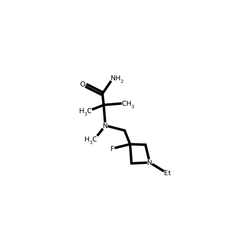 CCN1CC(F)(CN(C)C(C)(C)C(N)=O)C1